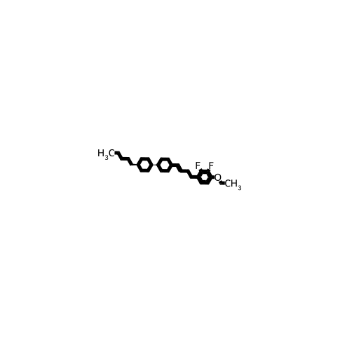 CCCCC[C@H]1CC[C@H](C2CCC(/C=C/CCc3ccc(OCC)c(F)c3F)CC2)CC1